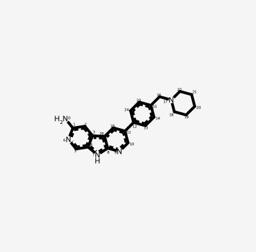 Nc1cc2c(cn1)[nH]c1ncc(-c3ccc(CN4CCCCC4)cc3)cc12